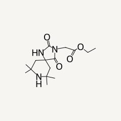 CCOC(=O)CN1C(=O)NC2(CC(C)(C)NC(C)(C)C2)C1=O